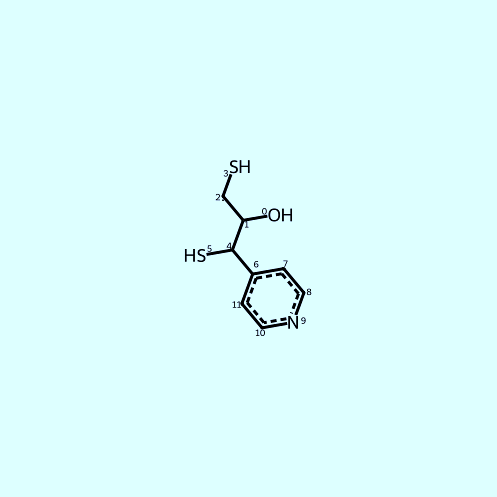 OC([CH]S)C(S)c1ccncc1